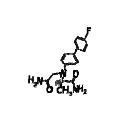 C[C@H](C(N)=O)N(CC(N)=O)c1ccc(-c2ccc(F)cc2)cc1